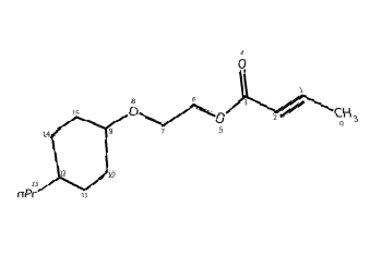 CC=CC(=O)OCCOC1CCC(CCC)CC1